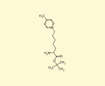 Cc1cc[n+](CCCCCC(N)C(=O)OC(C)(C)C)cc1